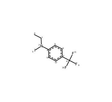 CCN(I)c1ccc(C(F)(F)F)cc1